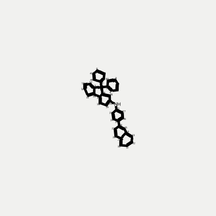 c1ccc(C2(c3ccccc3)c3ccccc3-c3ccc(Nc4ccc(-c5ccc6ccccc6c5)cc4)cc32)cc1